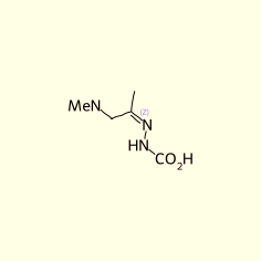 CNC/C(C)=N\NC(=O)O